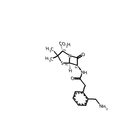 CC1(C)S[C@@H]2[C@H](NC(=O)Cc3ccccc3CN)C(=O)N2[C@H]1C(=O)O